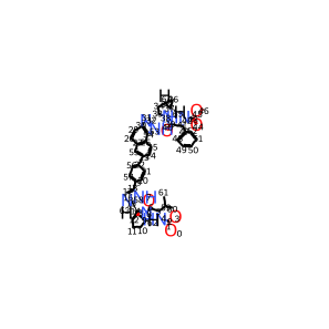 COC(=O)NC(C(=O)N1[C@@H]2CC[C@@H](C2)[C@H]1c1ncc(-c2ccc(-c3ccc4c(ccc5nc([C@@H]6C[C@H]7C[C@H]7N6C(=O)[C@H](NC(=O)OC)c6ccccc6)[nH]c54)c3)cc2)[nH]1)C(C)C